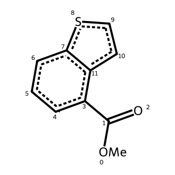 COC(=O)c1[c]ccc2sccc12